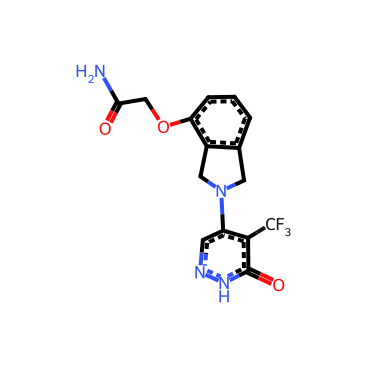 NC(=O)COc1cccc2c1CN(c1cn[nH]c(=O)c1C(F)(F)F)C2